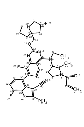 C=CC(=O)N1CCC(N(CC)c2nc(OC[C@@]34CCCN3C[C@H](F)C4)nc3c(F)c(-c4ccc(F)c5sc(N)c(C#N)c45)ccc23)C1C